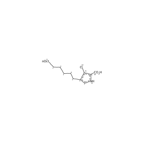 CCCCCCCCCCCCCc1c[nH]c(C(=O)O)c1Cl